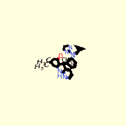 CC1(C)CC(=O)C2=C(C1)Nc1ncccc1[C@@]2(C)c1cccc(N(CC2CC2)c2ncccn2)c1